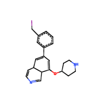 ICc1cccc(C2=CC3C=CN=CC3C(OC3CCNCC3)=C2)c1